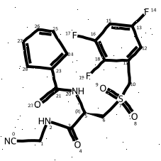 N#CCNC(=O)[C@H](CS(=O)(=O)Cc1cc(F)cc(F)c1F)NC(=O)c1ccccc1